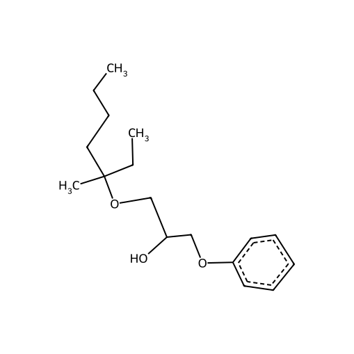 CCCCC(C)(CC)OCC(O)COc1ccccc1